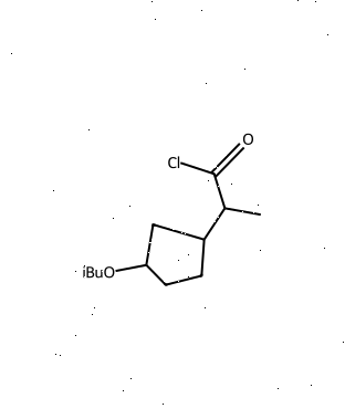 CC(C)COC1CCC(C(C)C(=O)Cl)C1